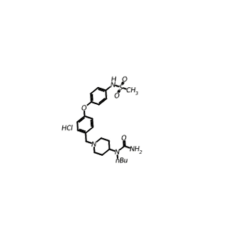 CCCCN(C(N)=O)C1CCN(Cc2ccc(Oc3ccc(NS(C)(=O)=O)cc3)cc2)CC1.Cl